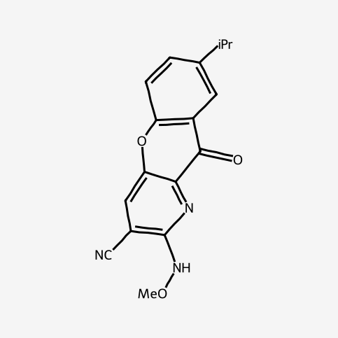 CONc1nc2c(=O)c3cc(C(C)C)ccc3oc2cc1C#N